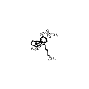 CCCCCCN1CC2CCC(C1)C2(OC)c1cccc(NS(C)(=O)=O)c1